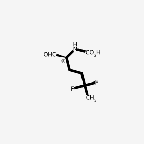 CC(F)(F)CC[C@@H](C=O)NC(=O)O